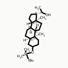 CC(O)[C@H]1CC[C@H]2[C@@H]3CC[C@@H]4CC(O[Si](C)(C)C(C)(C)C)CC[C@]4(C)[C@H]3CC[C@]12C